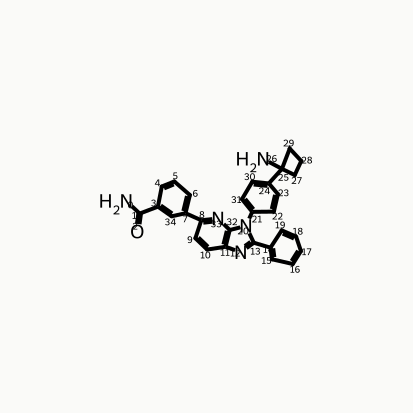 NC(=O)c1cccc(-c2ccc3nc(-c4ccccc4)n(-c4ccc(C5(N)CCC5)cc4)c3n2)c1